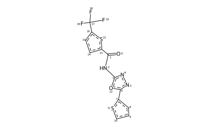 O=C(Nc1nnc(-c2cccs2)o1)c1ccc(C(F)(F)F)s1